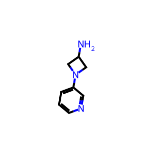 NC1CN(c2cccnc2)C1